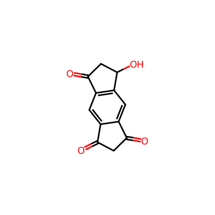 O=C1CC(=O)c2cc3c(cc21)C(=O)CC3O